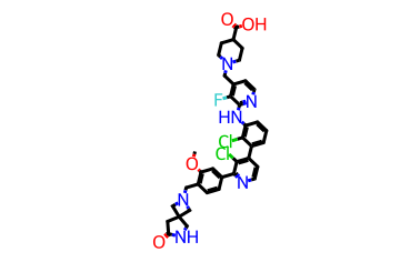 COc1cc(-c2nccc(-c3cccc(Nc4nccc(CN5CCC(C(=O)O)CC5)c4F)c3Cl)c2Cl)ccc1CN1CC2(CNC(=O)C2)C1